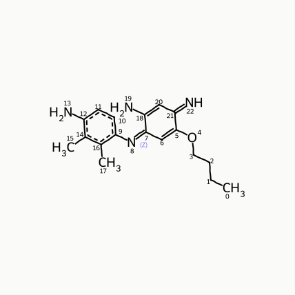 CCCCOC1=C/C(=N/c2ccc(N)c(C)c2C)C(N)=CC1=N